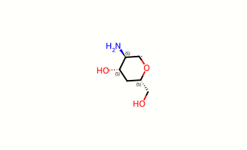 N[C@H]1[CH]O[C@H](CO)C[C@@H]1O